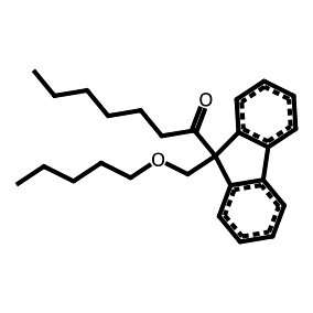 CCCCCCC(=O)C1(COCCCCC)c2ccccc2-c2ccccc21